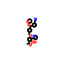 CC(=O)c1ccc(OCc2ccc(C(OC3CCCCO3)c3cccc(C#N)c3)cc2)c(-c2ccccn2)c1O